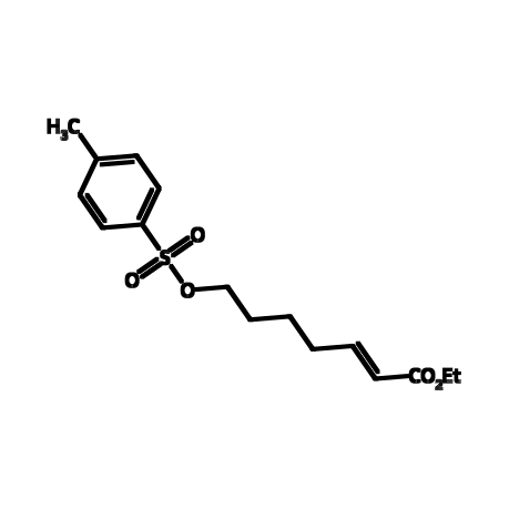 CCOC(=O)/C=C/CCCCOS(=O)(=O)c1ccc(C)cc1